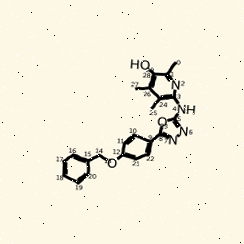 Cc1nc(Nc2nnc(-c3ccc(OCc4ccccc4)cc3)o2)c(C)c(C)c1O